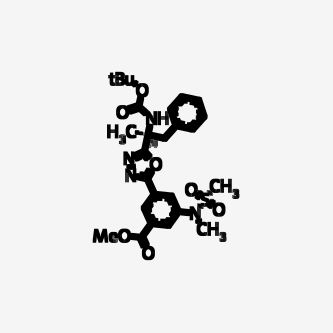 COC(=O)c1cc(-c2nnc([C@](C)(Cc3ccccc3)NC(=O)OC(C)(C)C)o2)cc(N(C)S(C)(=O)=O)c1